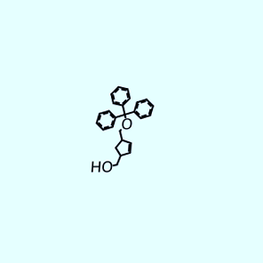 OCC1C=CC(COC(c2ccccc2)(c2ccccc2)c2ccccc2)C1